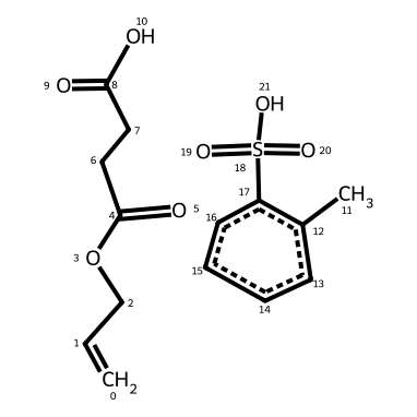 C=CCOC(=O)CCC(=O)O.Cc1ccccc1S(=O)(=O)O